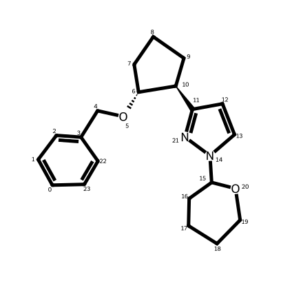 c1ccc(CO[C@@H]2CCC[C@H]2c2ccn(C3CCCCO3)n2)cc1